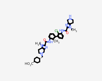 Cc1c(NC(=O)c2nc3c(n2C)CCN(C[C@H]2CC[C@@H](C(=O)O)CC2)C3)cccc1-c1cccc(NC(=O)c2nc3c(n2C)CCNC3)c1Cl